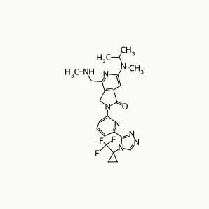 CNCc1nc(N(C)C(C)C)cc2c1CN(c1cccc(-c3nncn3C3(C(F)(F)F)CC3)n1)C2=O